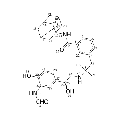 CC(C)(Cc1cccc(C(=O)NC23CC4CC(CC(C4)C2)C3)c1)NC[C@@H](O)c1ccc(O)c(NC=O)c1